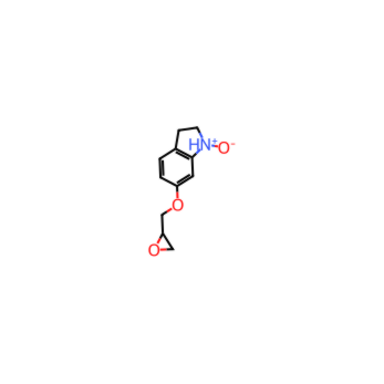 [O-][NH+]1CCc2ccc(OCC3CO3)cc21